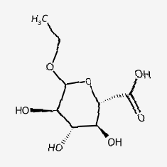 CCOC1O[C@H](C(=O)O)[C@@H](O)[C@H](O)[C@H]1O